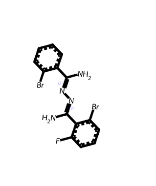 N/C(=N\N=C(/N)c1c(F)cccc1Br)c1ccccc1Br